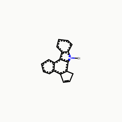 CCn1c2ccccc2c2c3ccccc3c3c(c21)CC=C3